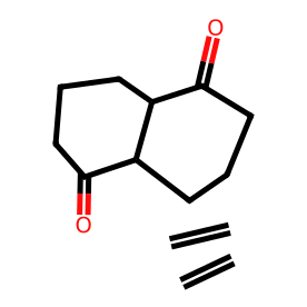 C=C.C=C.O=C1CCCC2C(=O)CCCC12